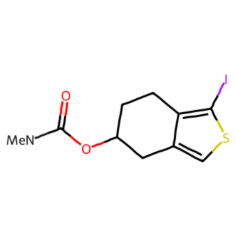 CNC(=O)OC1CCc2c(csc2I)C1